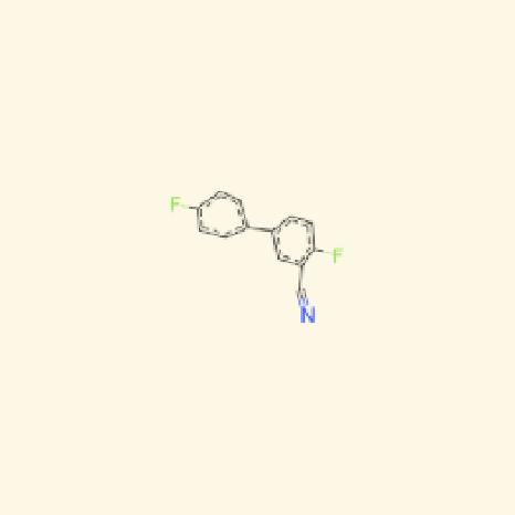 N#Cc1cc(-c2ccc(F)cc2)ccc1F